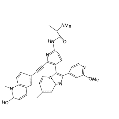 CNC(C)C(=O)Nc1ccc(-c2c(-c3ccnc(OC)c3)nc3cc(C)ccn23)c(C#Cc2ccc3c(c2)C=CC(O)N3C)n1